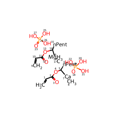 C=CC(=O)O[CH](CCCCC)[Ca][CH3].C=CC(=O)O[CH](CCCCC)[Mg][CH3].O=P(O)(O)O.O=P(O)(O)O